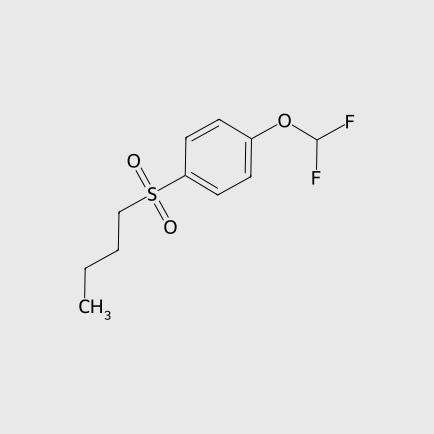 CCCCS(=O)(=O)c1ccc(OC(F)F)cc1